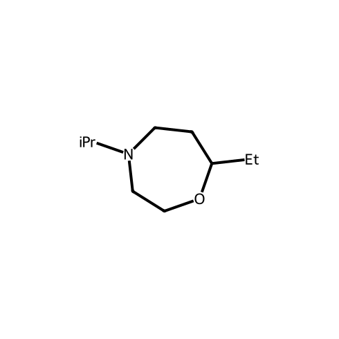 CCC1CCN(C(C)C)CCO1